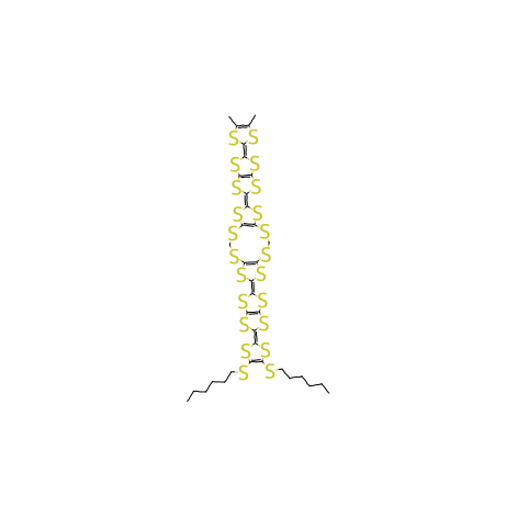 CCCCCCSC1=C(SCCCCCC)SC(=C2SC3=C(S2)SC(=C2SC4=C(SCSC5=C(SCS4)SC(=C4SC6=C(SC(=C7SC(C)=C(C)S7)S6)S4)S5)S2)S3)S1